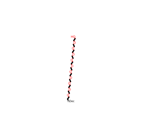 CCCCCCCCCCCCOCCOCCOCCOCCOCCOCCOCCOCCOCCOCCO